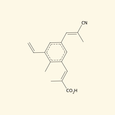 C=Cc1cc(C=C(C)C#N)cc(C=C(C)C(=O)O)c1C